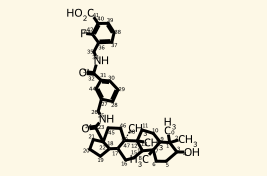 CC1(C)C(O)CCC2(C)C1CCC1(C)C2CCC2C3CCCC3(C(=O)NCc3cccc(C(=O)NCc4cccc(C(=O)O)c4F)c3)CC[C@]21C